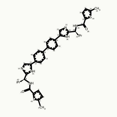 Cc1ccc(C(=O)N[C@H](c2ncc(-c3ccc(-c4ccc(-c5cnc([C@@H](NC(=O)c6ccc(C)s6)C(C)C)[nH]5)cc4)cc3)[nH]2)C(C)C)s1